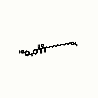 CCCCCCCCCCCCCCNC(=O)NNc1ccc(Sc2ccc(O)cc2)cc1